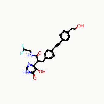 O=C(NCC(F)F)C(Cc1ccc(C#Cc2ccc(CCO)cc2)cc1)c1nc[nH]c(=O)c1O